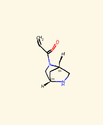 C=CC(=O)N1C[C@@H]2C[C@H]1CN2